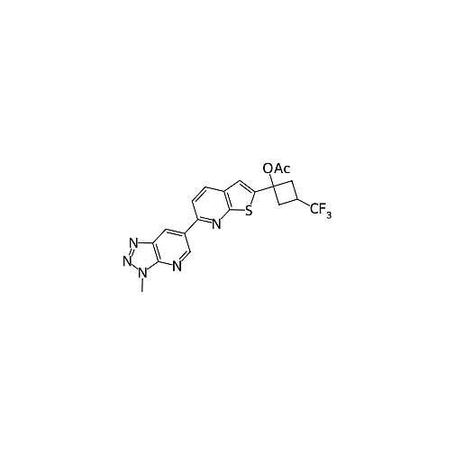 CC(=O)OC1(c2cc3ccc(-c4cnc5c(c4)nnn5C)nc3s2)CC(C(F)(F)F)C1